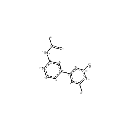 CC(=O)Nc1cc(-c2cc(C)nc(Cl)c2)ccn1